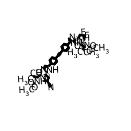 COC(=O)NC(C(=O)N1CC(C#N)C[C@H]1c1ncc(-c2ccc(C#Cc3ccc(-c4cnc([C@@H]5CC(F)(F)CN5C(=O)[C@@H](NC(=O)OC)C(C)C)[nH]4)cc3)cc2)[nH]1)C(C)C